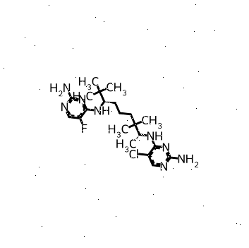 C[C@@H](Nc1nc(N)ncc1Cl)C(C)(C)CCC[C@@H](Nc1nc(N)ncc1F)C(C)(C)C